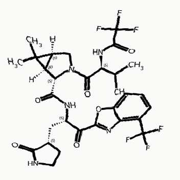 CC(C)[C@H](NC(=O)C(F)(F)F)C(=O)N1C[C@H]2[C@@H]([C@H]1C(=O)N[C@@H](C[C@@H]1CCNC1=O)C(=O)c1nc3c(C(F)(F)F)cccc3o1)C2(C)C